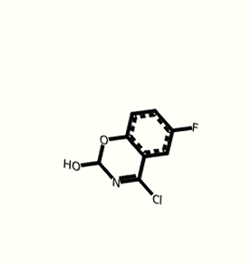 OC1N=C(Cl)c2cc(F)ccc2O1